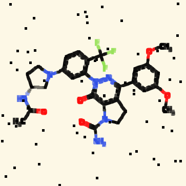 COc1cc(OC)cc(-c2nn(-c3cc(N4CC[C@@H](NC(C)=O)C4)ccc3C(F)(F)F)c(=O)c3c2CCN3C(N)=O)c1